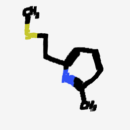 CSCCc1cccc(C)n1